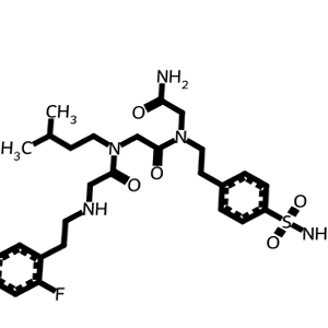 CC(C)CCN(CC(=O)N(CCc1ccc(S(N)(=O)=O)cc1)CC(N)=O)C(=O)CNCCc1ccccc1F